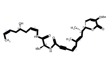 C/C=C\C[C@H](O)C/C=C\NC(=O)[C@@H](NC(=O)C#C/C=C\C(C)=C\[C@H](C)[C@@H]1CC=C(OC)C(=O)O1)C(C)(C)C